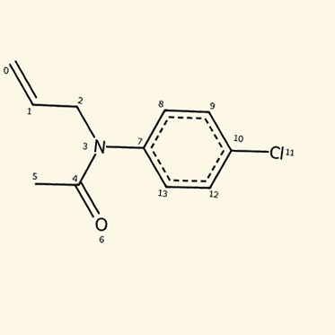 C=CCN(C(C)=O)c1ccc(Cl)cc1